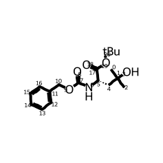 CC(C)(O)C[C@H](NC(=O)OCc1ccccc1)C(=O)OC(C)(C)C